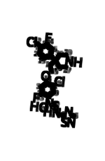 ON(SNc1ncns1)c1cc(Cl)c(OCCC2(c3ccc(Cl)c(F)c3)CCNCC2)cc1F